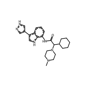 CN1CCN(C(C(=O)Nc2cccc3c(-c4cn[nH]c4)c[nH]c23)C2CCCCC2)CC1